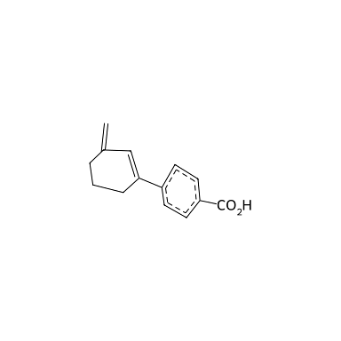 C=C1C=C(c2ccc(C(=O)O)cc2)CCC1